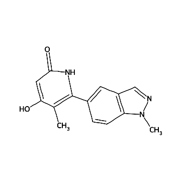 Cc1c(O)cc(=O)[nH]c1-c1ccc2c(cnn2C)c1